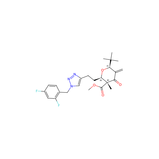 C=C1C(=O)[C@](C)(C(=O)OC)[C@@H](CCc2cn(Cc3ccc(F)cc3F)nn2)O[C@H]1C(C)(C)C